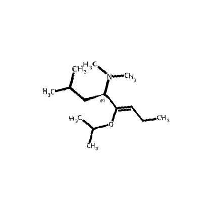 CCC=C(OC(C)C)[C@@H](CC(C)C)N(C)C